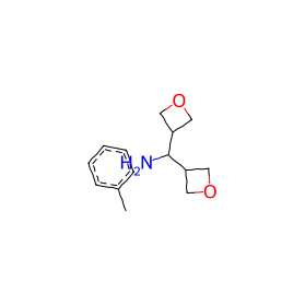 Cc1ccccc1.NC(C1COC1)C1COC1